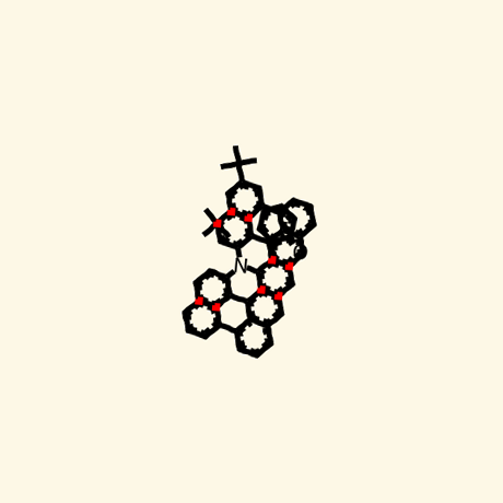 CC(C)(C)c1cc(-c2cccc3cccc(-c4ccccc4N(c4ccccc4-c4cccc5cccc(-c6ccccc6)c45)c4cccc5oc6ccccc6c45)c23)cc(C(C)(C)C)c1